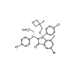 CCOC(=O)C[C@@H](c1ccc(Cl)cc1)N1C(=O)c2cc(Br)cc(F)c2[C@]1(OCC1(F)COC1)c1ccc(Cl)cc1